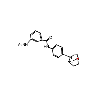 CC(=O)Nc1cccc(C(=O)Nc2ccc(N3CCN4CCC3CC4)cc2)c1